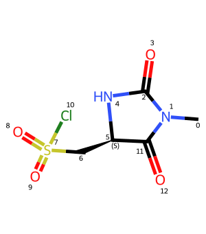 CN1C(=O)N[C@H](CS(=O)(=O)Cl)C1=O